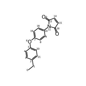 CCc1ccc(Oc2ccc(N3C(=O)C=CC3=O)cc2)cc1